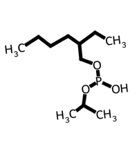 CCCCC(CC)COP(O)OC(C)C